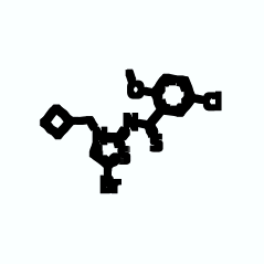 COc1ccc(Cl)cc1C(=S)N=c1sc(Br)cn1CC1CCC1